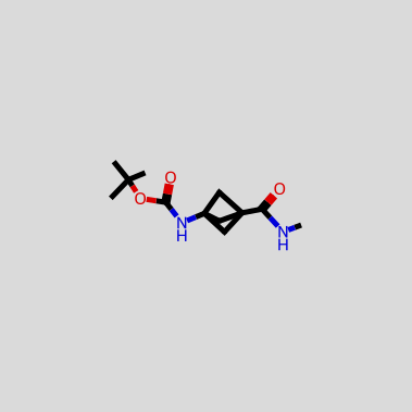 CNC(=O)C12CC(NC(=O)OC(C)(C)C)(C1)C2